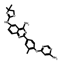 Cc1cc(-c2nc(N)c3cc(NC4=NC(C)(C)CO4)ccc3n2)ccc1Oc1cc(N)ncn1